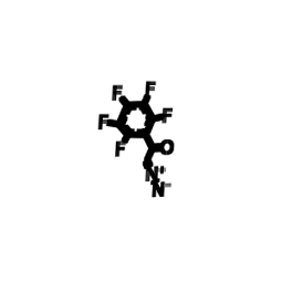 [N-]=[N+]=CC(=O)c1c(F)c(F)c(F)c(F)c1F